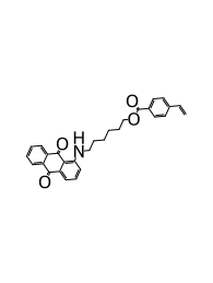 C=Cc1ccc(C(=O)OCCCCCCNc2cccc3c2C(=O)c2ccccc2C3=O)cc1